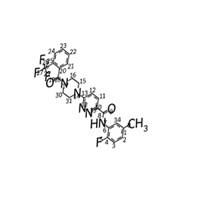 Cc1ccc(F)c(NC(=O)c2ccc(N3CCN(C(=O)c4ccccc4C(F)(F)F)CC3)nn2)c1